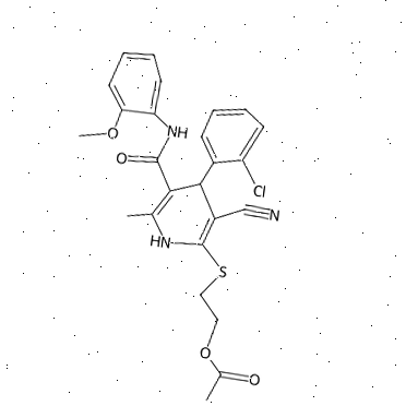 COc1ccccc1NC(=O)C1=C(C)NC(SCCOC(C)=O)=C(C#N)C1c1ccccc1Cl